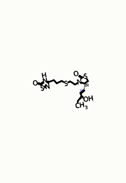 CC[C@H](O)/C=C/[C@H]1CSC(=O)N1CCSCCCc1nsc(=O)[nH]1